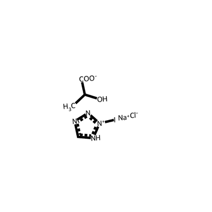 CC(O)C(=O)[O-].I[n+]1nnc[nH]1.[Cl-].[Na+]